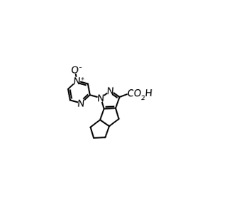 O=C(O)c1nn(-c2c[n+]([O-])ccn2)c2c1CC1CCCC21